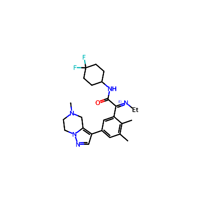 CC/N=C(/C(=O)NC1CCC(F)(F)CC1)c1cc(-c2cnn3c2CN(C)CC3)cc(C)c1C